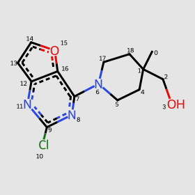 CC1(CO)CCN(c2nc(Cl)nc3ccoc23)CC1